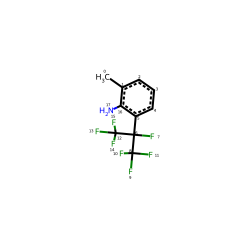 Cc1[c]ccc(C(F)(C(F)(F)F)C(F)(F)F)c1N